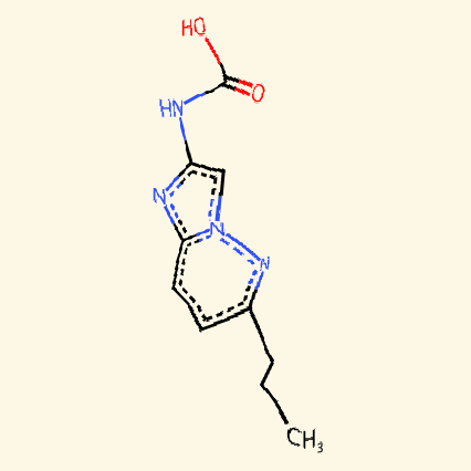 CCCc1ccc2nc(NC(=O)O)cn2n1